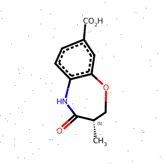 C[C@H]1COc2cc(C(=O)O)ccc2NC1=O